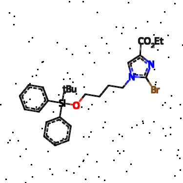 CCOC(=O)c1cn(CCCCO[Si](c2ccccc2)(c2ccccc2)C(C)(C)C)c(Br)n1